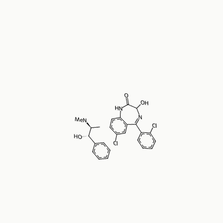 CN[C@@H](C)[C@@H](O)c1ccccc1.O=C1Nc2ccc(Cl)cc2C(c2ccccc2Cl)=NC1O